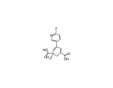 CC1(C(=O)O)C=C(c2ccc(F)nc2)C=C(C(=O)O)C1